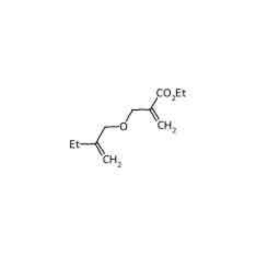 C=C(CC)COCC(=C)C(=O)OCC